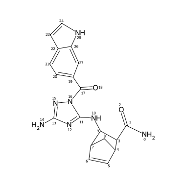 NC(=O)C1C2C=CC(C2)C1Nc1nc(N)nn1C(=O)c1ccc2cc[nH]c2c1